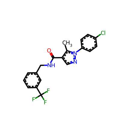 Cc1c(C(=O)NCc2cccc(C(F)(F)F)c2)cnn1-c1ccc(Cl)cc1